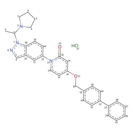 CC(N1CCCC1)n1ncc2cc(-n3ccc(OCc4ccc(-c5ccccc5)cc4)cc3=O)ccc21.Cl